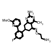 COc1cccc(-c2cc(F)ccc2C2CC(=NOCCN)c3c(C)nc(N)nc3C2)n1